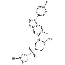 CCCN1CCN(S(=O)(=O)c2cnn(CC)c2)C[C@H]1c1cc2cnn(-c3ccc(F)cc3)c2cc1C